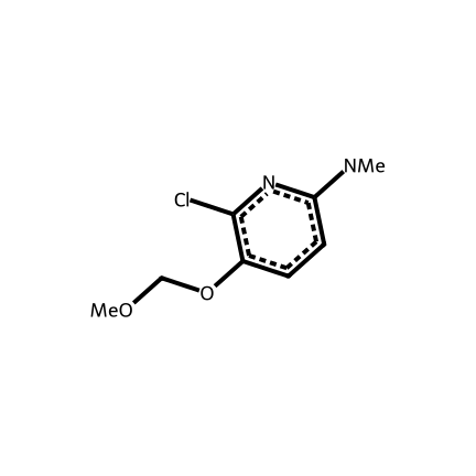 CNc1ccc(OCOC)c(Cl)n1